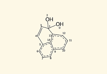 OC1(O)C=Cc2cccc3cccc1c23